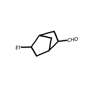 CCC1C[C]2CC1CC2C=O